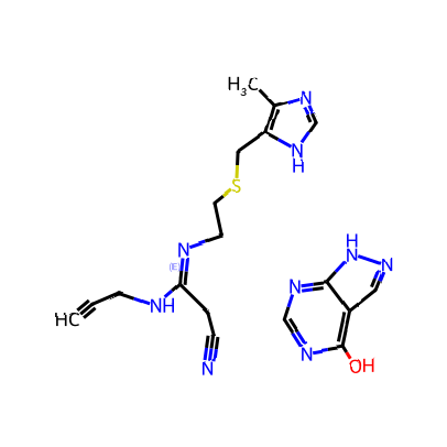 C#CCN/C(CC#N)=N/CCSCc1[nH]cnc1C.Oc1ncnc2[nH]ncc12